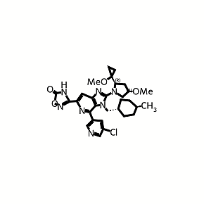 CO[C@@H]1C[C@H](C2(OC)CC2)N(c2nc3cc(-c4noc(=O)[nH]4)nc(-c4cncc(Cl)c4)c3n2C[C@H]2CC[C@H](C)CC2)C1